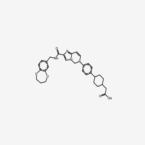 O=C(O)CC1CCC(c2ccc(N3C=CC4=NC(C(=O)NCc5ccc6c(c5)OCCCO6)=C[N+]4C3)cc2)CC1